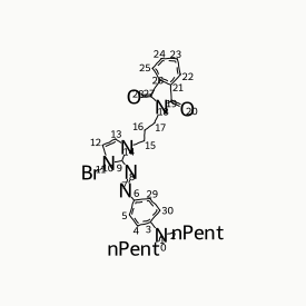 CCCCCN(CCCCC)c1ccc(/N=N/C2N(Br)C=CN2CCCN2C(=O)c3ccccc3C2=O)cc1